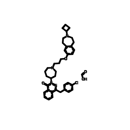 O=CO.O=c1c2ccccc2c(Cc2ccc(Cl)cc2)nn1C1CCCN(CCCOc2ccc3c(c2)CCN(C2CCC2)CC3)CC1